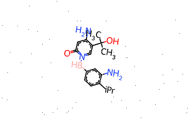 CC(C)c1ccc(Bn2cc(C(C)(C)O)c(N)cc2=O)cc1N